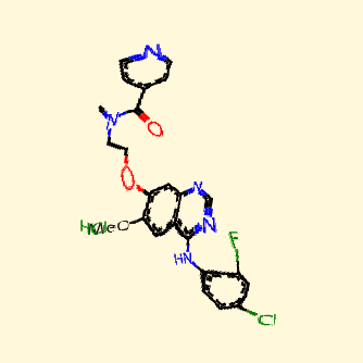 COc1cc2c(Nc3ccc(Cl)cc3F)ncnc2cc1OCCN(C)C(=O)c1ccncc1.Cl